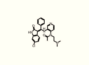 CC(=O)N(CCN(C)C)c1ccncc1NC(=C1C(=O)Nc2cc(Cl)ccc21)c1ccccc1